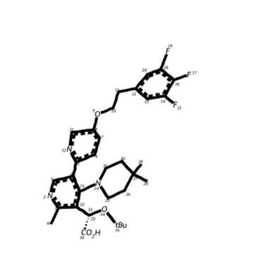 Cc1ncc(-c2ccc(OCCc3cc(F)c(F)c(F)c3)cn2)c(N2CCC(C)(C)CC2)c1[C@H](OC(C)(C)C)C(=O)O